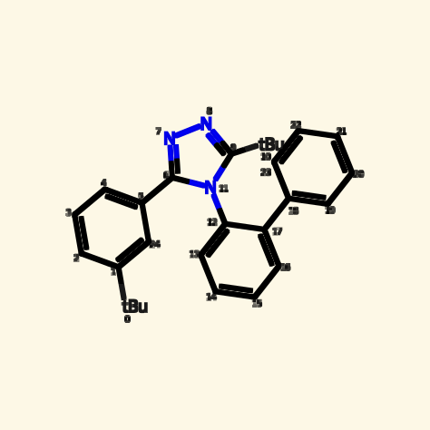 CC(C)(C)c1cccc(-c2nnc(C(C)(C)C)n2-c2ccccc2-c2ccccc2)c1